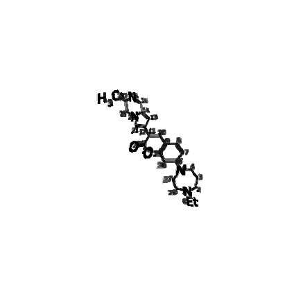 CCN1CCCN(c2ccc3cc(-c4cc5cnc(C)cn5c4)c(=O)oc3c2)CC1